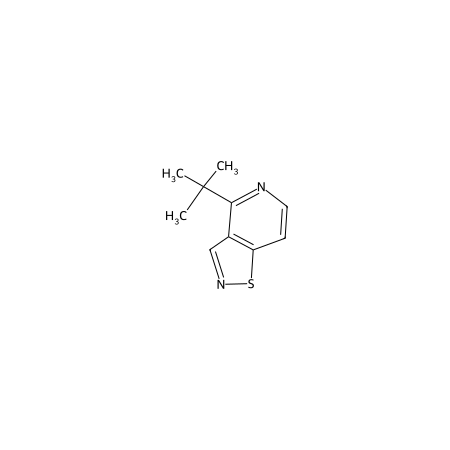 CC(C)(C)c1nccc2sncc12